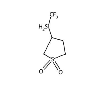 O=S1(=O)CCC([SiH2]C(F)(F)F)C1